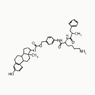 CC(Cc1ccccc1)C(=O)NC(CCCCN)C(=O)Nc1ccc(COC(=O)OC2CCC3C4CCc5cc(O)ccc5C4CCC23C)cc1